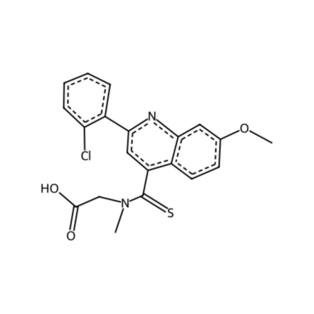 COc1ccc2c(C(=S)N(C)CC(=O)O)cc(-c3ccccc3Cl)nc2c1